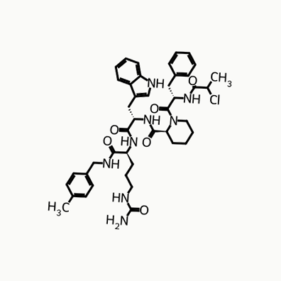 Cc1ccc(CNC(=O)[C@H](CCCNC(N)=O)NC(=O)[C@H](Cc2c[nH]c3ccccc23)NC(=O)[C@@H]2CCCCN2C(=O)[C@H](Cc2ccccc2)NC(=O)C(C)Cl)cc1